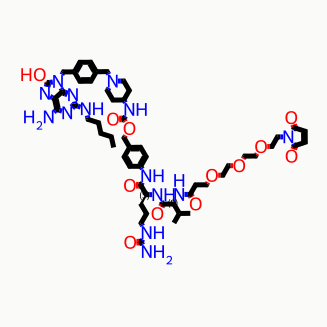 CCCCCNc1nc(N)c2nc(O)n(Cc3ccc(CN4CCC(NC(=O)OCc5ccc(NC(=O)[C@H](CCCNC(N)=O)NC(=O)[C@@H](NC(=O)CCOCCOCCOCCN6C(=O)C=CC6=O)C(C)C)cc5)CC4)cc3)c2n1